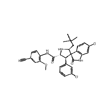 COc1cc(C#N)ccc1NC(=O)[C@@H]1N[C@@H](CC(C)(C)C)[C@@]2(C(=O)Nc3cc(Cl)ccc32)[C@H]1c1cccc(Cl)c1